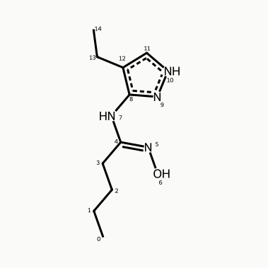 CCCCC(=NO)Nc1n[nH]cc1CC